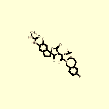 CNC(=O)Nc1cc2c(cc1F)C1(CC2)OC(=O)N(CC(=O)N2Cc3ccc(F)cc3CC[C@H]2C(F)(F)F)C1=O